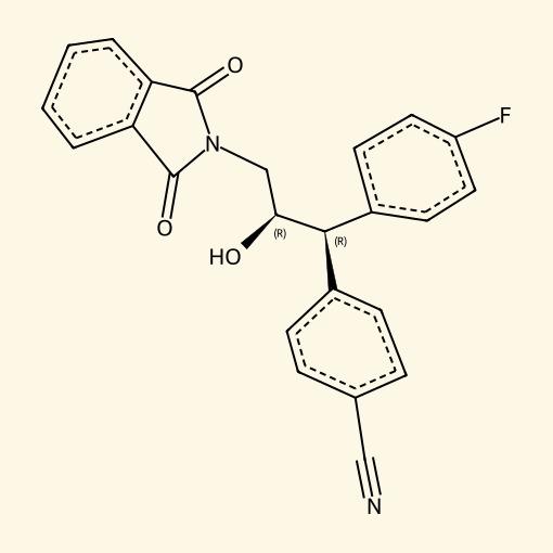 N#Cc1ccc([C@H](c2ccc(F)cc2)[C@@H](O)CN2C(=O)c3ccccc3C2=O)cc1